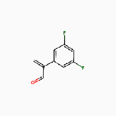 C=C(C=O)c1cc(F)cc(F)c1